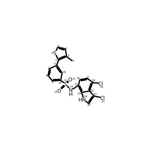 Cc1ccsc1-c1cccc(S(=O)(=O)Nc2ccc(Cl)c3c(Cl)c[nH]c23)c1